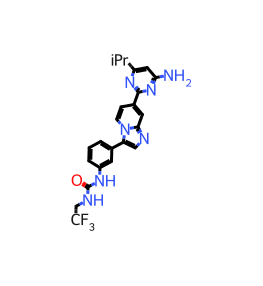 CC(C)c1cc(N)nc(-c2ccn3c(-c4cccc(NC(=O)NCC(F)(F)F)c4)cnc3c2)n1